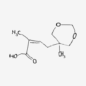 CC(=CCC1(C)COCOC1)C(=O)O